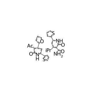 CC(=O)c1c(-c2ccco2)cc(-c2cccs2)[nH]c1=O.CC(C)c1cc(-c2cccs2)[nH]c(=O)c1C(N)=O